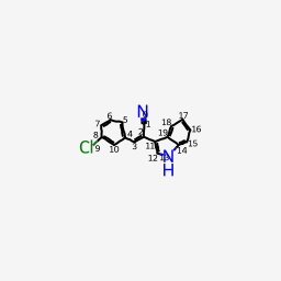 N#C/C(=C\c1cccc(Cl)c1)c1c[nH]c2ccccc12